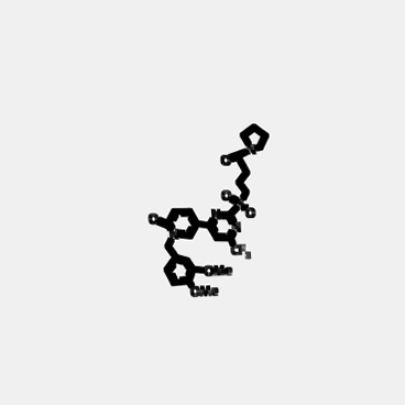 COc1ccc(Cn2cc(-c3cc(C(F)(F)F)nc(S(=O)(=O)CCCC(=O)N4CCCC4)n3)ccc2=O)cc1OC